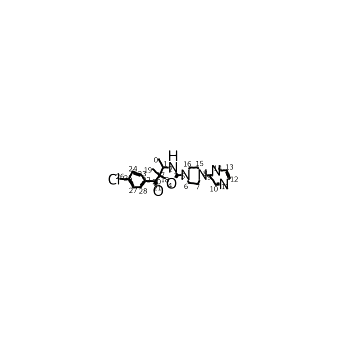 CC(NC(=O)N1CCN(c2cnccn2)CC1)C(C)(C)C(=O)c1ccc(Cl)cc1